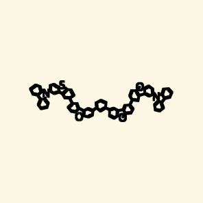 c1cc(-c2ccc3oc4ccc(-c5ccc6oc7ccc(-n8c9ccccc9c9ccccc98)cc7c6c5)cc4c3c2)cc(-c2ccc3oc4ccc(-c5ccc6sc7ccc(-n8c9ccccc9c9ccccc98)cc7c6c5)cc4c3c2)c1